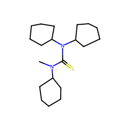 CN(C(=S)N(C1CCCCC1)C1CCCCC1)C1CCCCC1